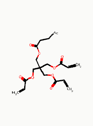 C=CC(=O)OCC(COC(=O)C=C)(COC(=O)C=C)COC(=O)CCC(C)=O